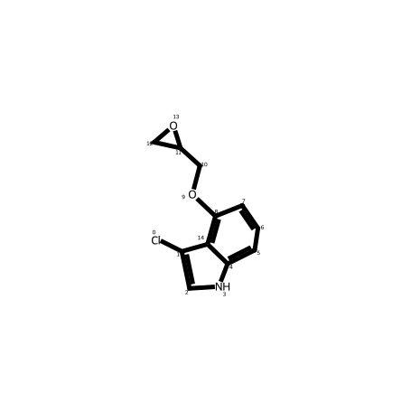 Clc1c[nH]c2cccc(OCC3CO3)c12